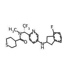 CN(C(=O)C1CCSCC1)[C@@H](c1ccc(NC2Cc3cccc(F)c3C2)cn1)C(F)(F)F